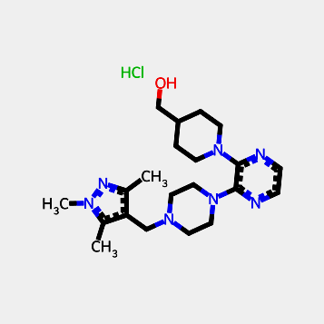 Cc1nn(C)c(C)c1CN1CCN(c2nccnc2N2CCC(CO)CC2)CC1.Cl